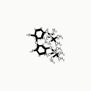 CC(C)(C)[Si](C)(C)Oc1ccc(F)c(Oc2cc(O[Si](C)(C)C(C)(C)C)ccc2F)c1